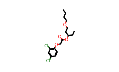 CCCCOCCC(CC)OC(=O)COc1ccc(Cl)cc1Cl